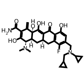 C=C1C(C(N)=O)=C(O)[C@@H](N(C)C)[C@@H]2C[C@@H]3Cc4c(F)c(CN(CC5CC5)C5CC5)cc(O)c4C(=O)C3=C(O)[C@]12O